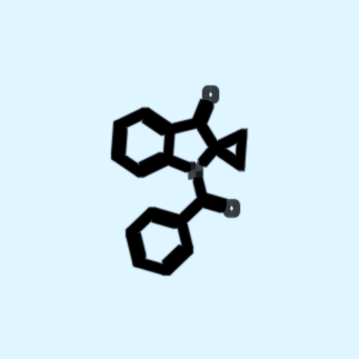 O=C(c1ccccc1)N1c2ccccc2C(=O)C12CC2